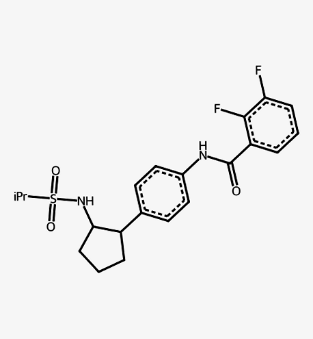 CC(C)S(=O)(=O)NC1CCCC1c1ccc(NC(=O)c2cccc(F)c2F)cc1